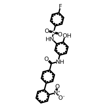 O=C(Nc1ccc(O)c(NS(=O)(=O)c2ccc(F)cc2)c1)c1ccc(-c2ccccc2[N+](=O)[O-])cc1